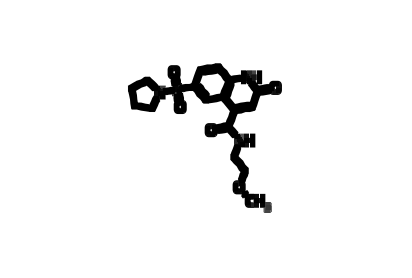 COCCNC(=O)c1cc(=O)[nH]c2ccc(S(=O)(=O)N3CCCC3)cc12